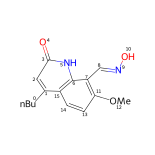 CCCCc1cc(=O)[nH]c2c(/C=N/O)c(OC)ccc12